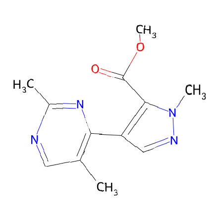 COC(=O)c1c(-c2nc(C)ncc2C)cnn1C